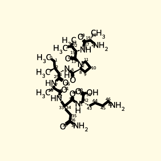 CC[C@H](C)[C@H](NC(=O)[C@@H]1CCCN1C(=O)[C@@H](NC(=O)[C@H](C)N)C(C)C)C(=O)N[C@@H](C)C(=O)N[C@@H](CCC(N)=O)C(=O)N[C@@H](CCCCN)C(=O)O